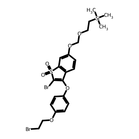 C[Si](C)(C)CCOCOc1ccc2c(c1)S(=O)(=O)C(Br)=C2Oc1ccc(OCCBr)cc1